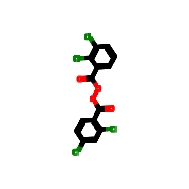 O=C(OOC(=O)c1cccc(Cl)c1Cl)c1ccc(Cl)cc1Cl